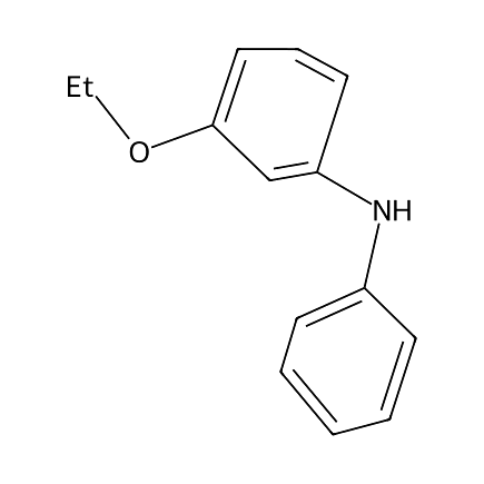 [CH2]COc1cccc(Nc2ccccc2)c1